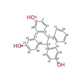 Oc1ccc(C(c2ccccc2)C(c2ccc(O)cc2)c2ccc(O)cc2)cc1